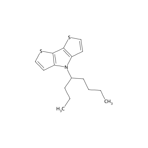 CCCCC(CCC)n1c2ccsc2c2sccc21